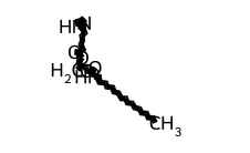 C=C(COC(=O)CCCCCc1ncc[nH]1)COC(=O)NCCCCCCCCCCCCCCCCCC